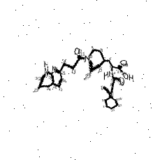 CC1(C(=O)NC(CC2CCN(C(=O)CCc3ccc4c(n3)NCCC4)CC2)C(=O)O)CCCCC1